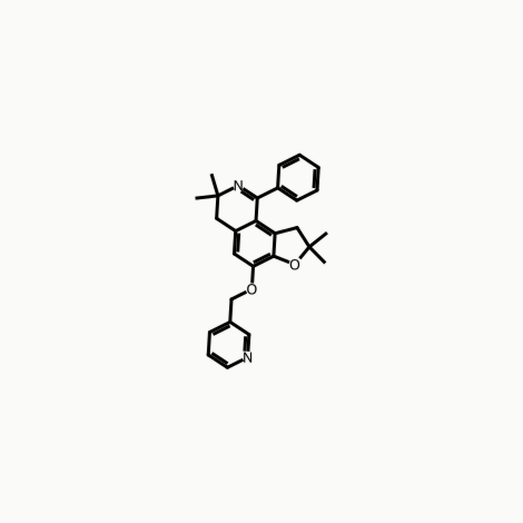 CC1(C)Cc2cc(OCc3cccnc3)c3c(c2C(c2ccccc2)=N1)CC(C)(C)O3